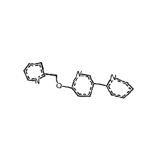 c1ccc(COc2ccc(-c3ccccn3)cn2)nc1